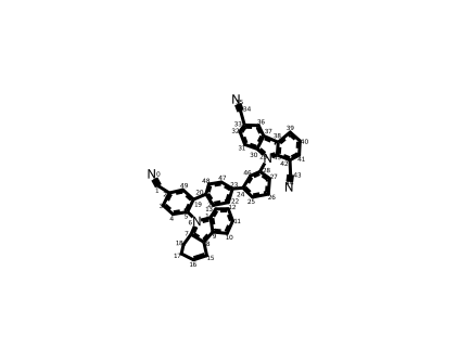 N#Cc1ccc(-n2c3c(c4ccccc42)C=CCC3)c(-c2ccc(-c3cccc(-n4c5ccc(C#N)cc5c5cccc(C#N)c54)c3)cc2)c1